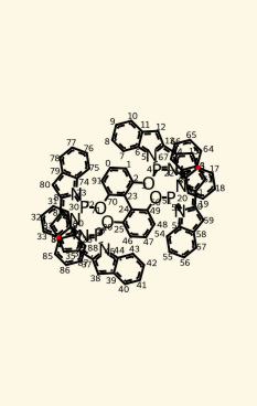 c1cc(Op2n3c4ccccc4cc3c3cc4ccccc4n32)c(-c2c(Op3n4c5ccccc5cc4c4cc5ccccc5n43)cccc2Op2n3c4ccccc4cc3c3cc4ccccc4n32)c(Op2n3c4ccccc4cc3c3cc4ccccc4n32)c1